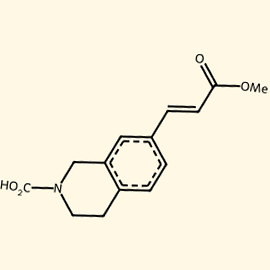 COC(=O)/C=C/c1ccc2c(c1)CN(C(=O)O)CC2